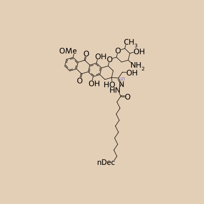 CCCCCCCCCCCCCCCCCCCCC(=O)N/N=C(/CO)C1(O)Cc2c(O)c3c(c(O)c2C(OC2CC(N)C(O)C(C)O2)C1)C(=O)c1c(OC)cccc1C3=O